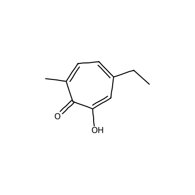 CCc1ccc(C)c(=O)c(O)c1